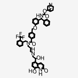 O=C(NC(c1ccccc1)c1cccc(OCc2ccc(C(=O)N(CCCNCC(O)c3ccc(O)c4[nH]c(=O)ccc34)Cc3ccccc3C(F)(F)F)cc2)c1)OC1CN2CCC1CC2